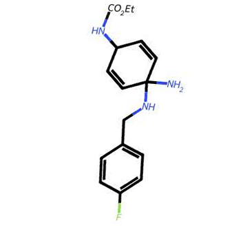 CCOC(=O)NC1C=CC(N)(NCc2ccc(F)cc2)C=C1